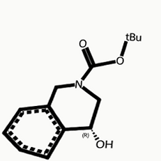 CC(C)(C)OC(=O)N1Cc2ccccc2[C@@H](O)C1